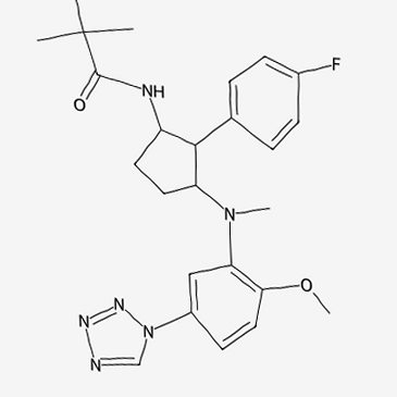 COc1ccc(-n2cnnn2)cc1N(C)C1CCC(NC(=O)C(C)(C)C)C1c1ccc(F)cc1